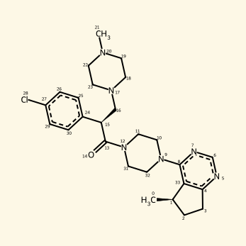 C[C@@H]1CCc2ncnc(N3CCN(C(=O)[C@H](CN4CCN(C)CC4)c4ccc(Cl)cc4)CC3)c21